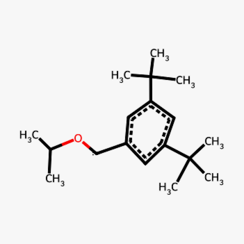 CC(C)O[C]c1cc(C(C)(C)C)cc(C(C)(C)C)c1